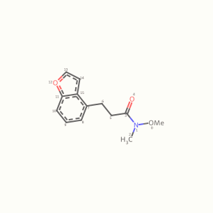 CON(C)C(=O)CCc1cccc2occc12